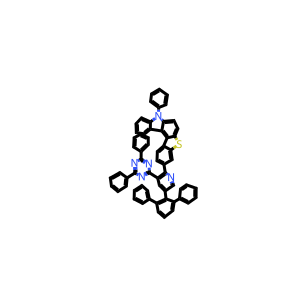 c1ccc(-c2nc(-c3ccccc3)nc(-c3cc(-c4c(-c5ccccc5)cccc4-c4ccccc4)cnc3-c3ccc4c(c3)sc3ccc5c(c6ccccc6n5-c5ccccc5)c34)n2)cc1